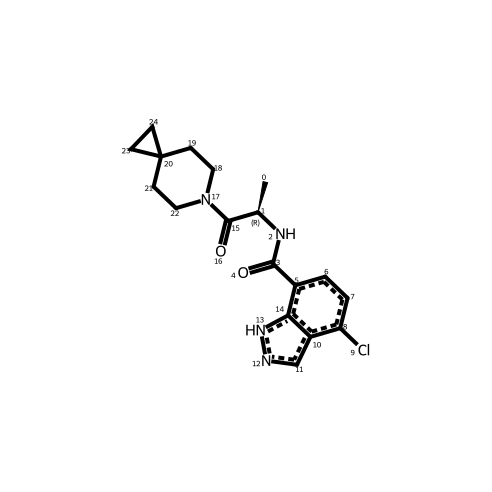 C[C@@H](NC(=O)c1ccc(Cl)c2cn[nH]c12)C(=O)N1CCC2(CC1)CC2